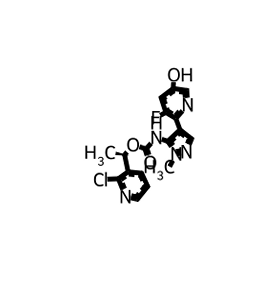 C[C@@H](OC(=O)Nc1c(-c2ncc(O)cc2F)cnn1C)c1cccnc1Cl